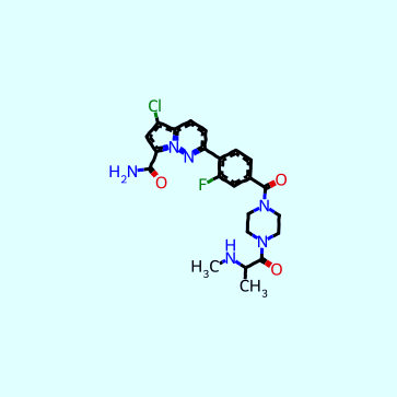 CNC(C)C(=O)N1CCN(C(=O)c2ccc(-c3ccc4c(Cl)cc(C(N)=O)n4n3)c(F)c2)CC1